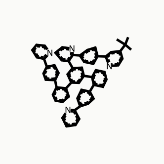 CC(C)(C)c1ccnc(-c2ccc(-c3ncccc3-c3cc(-c4ccccc4-c4ccc(-c5ccccn5)cc4)cc(-c4ccccc4-c4ccc(-c5ccccn5)cc4)c3)cc2)c1